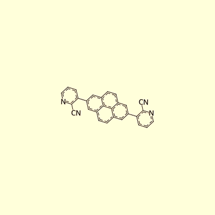 N#Cc1ncccc1-c1cc2ccc3cc(-c4cccnc4C#N)cc4ccc(c1)c2c34